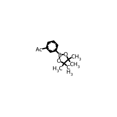 CC(=O)c1cccc(B2OC(C)(C)C(C)(C)O2)c1